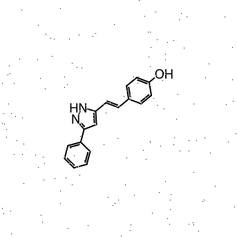 Oc1ccc(C=Cc2cc(-c3ccccc3)n[nH]2)cc1